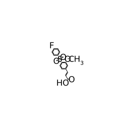 COc1cc(/C=C/C(=O)O)ccc1S(=O)(=O)c1ccc(F)cc1